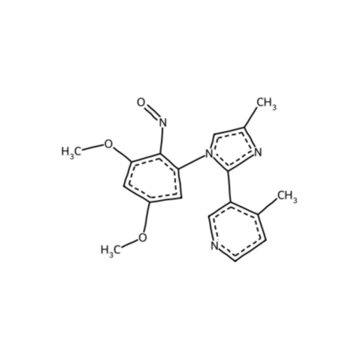 COc1cc(OC)c(N=O)c(-n2cc(C)nc2-c2cnccc2C)c1